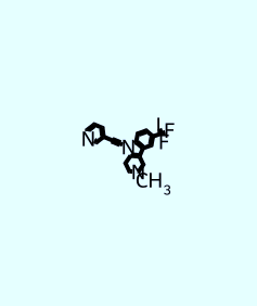 CN1CCc2c(c3cc(C(F)(F)I)ccc3n2C#Cc2cccnc2)C1